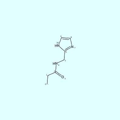 [CH2]CC(=O)NCc1ncc[nH]1